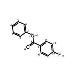 O=C(Nc1ccccc1)c1ccc(F)cc1